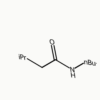 CCC[CH]NC(=O)CC(C)C